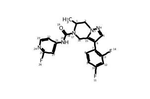 CC1Cn2ncc(-c3ccc(F)cc3F)c2CN1C(=O)Nc1ccnc(F)c1